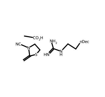 C=C1SCCN1C#N.CC(=O)O.CCCCCCCCCCCCNC(=N)N